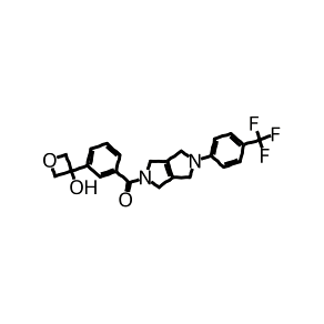 O=C(c1cccc(C2(O)COC2)c1)N1CC2=C(C1)CN(c1ccc(C(F)(F)F)cc1)C2